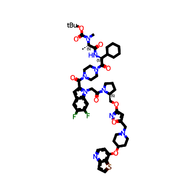 C[C@@H](C(=O)N[C@H](C(=O)N1CCN(C(=O)c2cc3cc(F)c(F)cc3n2CC(=O)N2CCC[C@H]2COc2cc(CN3CCC(Oc4ccnc5ccsc45)CC3)on2)CC1)C1CCCCC1)N(C)C(=O)OC(C)(C)C